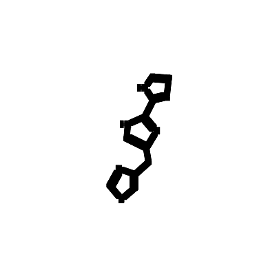 c1c[nH]c(-c2nc(Cc3cscn3)c[nH]2)n1